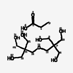 CCC(=O)O.OCC(CO)(CO)COCC(CO)(CO)CO